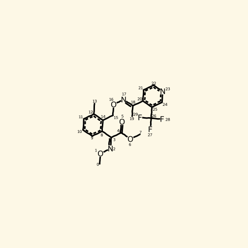 CO/N=C(/C(=O)OC)c1cccc(C)c1CO/N=C(\C)c1ccncc1C(F)(F)F